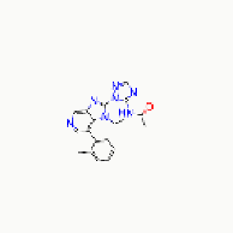 CCn1c(-n2ncnc2NC(C)=O)nc2cncc(-c3ccccc3C)c21